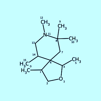 CC1COC(C)C12CC(C)(C)N(C)CC2C